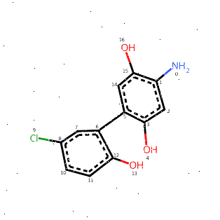 Nc1cc(O)c(-c2cc(Cl)ccc2O)cc1O